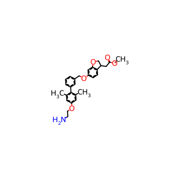 COC(=O)CC1COc2cc(OCc3cccc(-c4c(C)cc(OCCN)cc4C)c3)ccc21